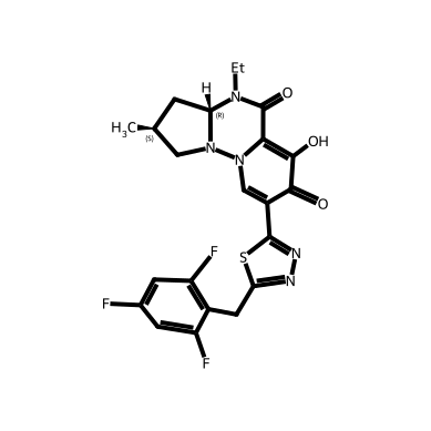 CCN1C(=O)c2c(O)c(=O)c(-c3nnc(Cc4c(F)cc(F)cc4F)s3)cn2N2C[C@@H](C)C[C@H]12